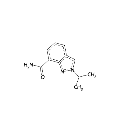 CC(C)n1cc2cccc(C(N)=O)c2n1